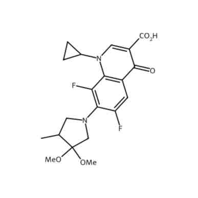 COC1(OC)CN(c2c(F)cc3c(=O)c(C(=O)O)cn(C4CC4)c3c2F)CC1C